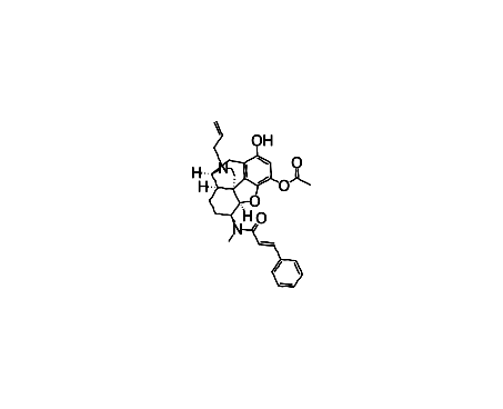 C=CCN1CC[C@]23c4c5c(O)cc(OC(C)=O)c4O[C@H]2[C@@H](N(C)C(=O)C=Cc2ccccc2)CC[C@H]3[C@H]1C5